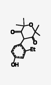 CCc1cc(O)ccc1C1C(=O)C(C)(C)OC(C)(C)C1=O